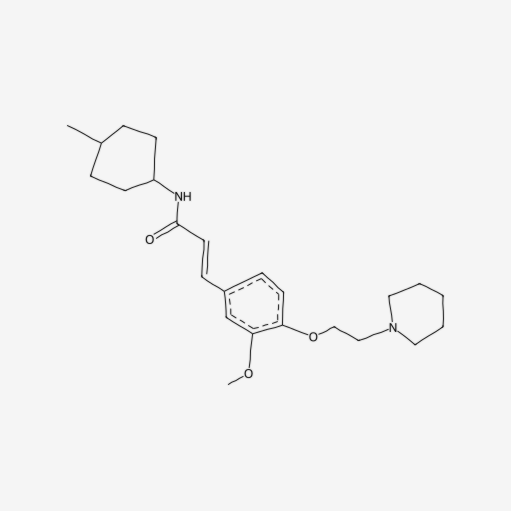 COc1cc(C=CC(=O)NC2CCC(C)CC2)ccc1OCCN1CCCCC1